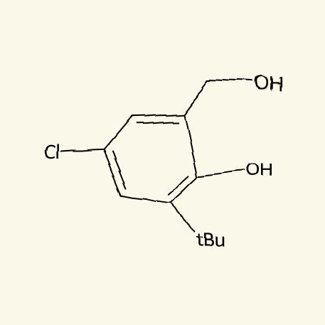 CC(C)(C)c1cc(Cl)cc(CO)c1O